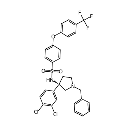 O=S(=O)(N[C@@]1(c2ccc(Cl)c(Cl)c2)CCN(Cc2ccccc2)C1)c1ccc(Oc2ccc(C(F)(F)F)cc2)cc1